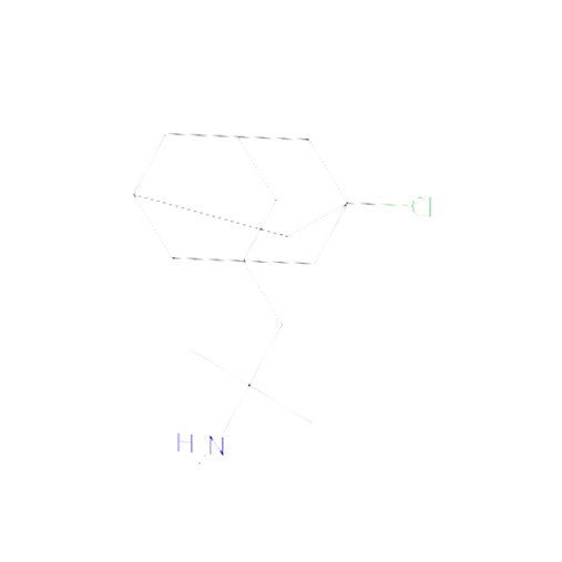 CC(C)(N)CC12CC3CC(CC(Cl)(C3)C1)C2